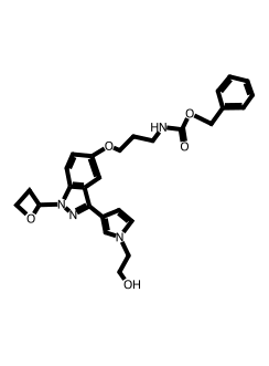 O=C(NCCCOc1ccc2c(c1)c(-c1ccn(CCO)c1)nn2C1CCO1)OCc1ccccc1